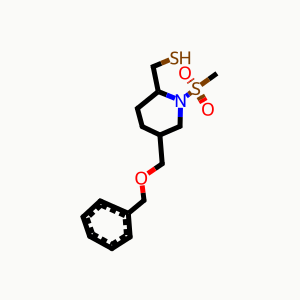 CS(=O)(=O)N1CC(COCc2ccccc2)CCC1CS